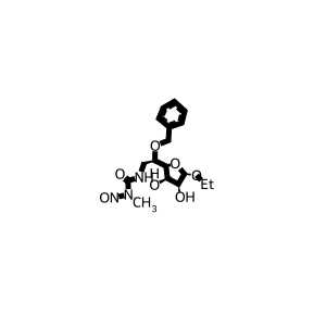 CCO[C@H]1O[C@H]([C@@H](CNC(=O)N(C)N=O)OCc2ccccc2)[C@H](O)[C@H]1O